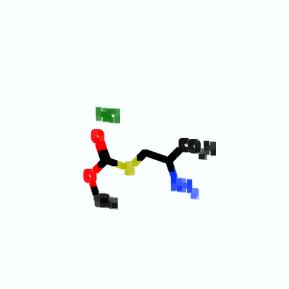 CC(C)(C)OC(=O)SCC(N)C(=O)O.Cl